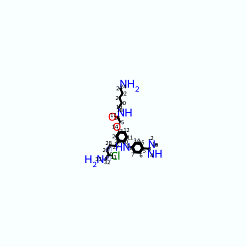 CN(C)C(=N)c1ccc(Nc2ccc(OCC(=O)NCCCCCN)cc2C/C=C\C(Cl)=C/N)cc1